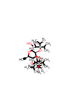 C#C[C@H]1O[C@H](CO)[C@@H](O[Si](C(C)C)(C(C)C)C(C)C)[C@H](O[Si](C(C)C)(C(C)C)C(C)C)[C@@H]1O[Si](C(C)C)(C(C)C)C(C)C